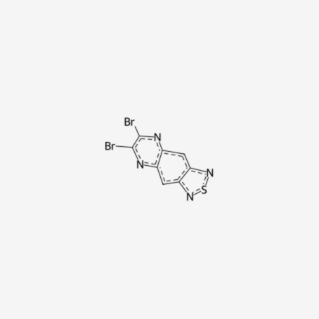 Brc1nc2cc3nsnc3cc2nc1Br